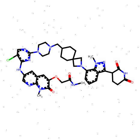 CNC(=O)COc1cc2cc(Nc3nc(N4CCN(CC5CCC6(CC5)CN(c5cccc7c(C8CCC(=O)NC8=O)nn(C)c57)C6)CC4)ncc3Cl)cnc2n(C)c1=O